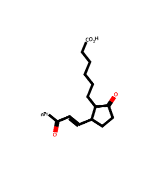 CCCC(=O)C=CC1CCC(=O)C1CCCCCC(=O)O